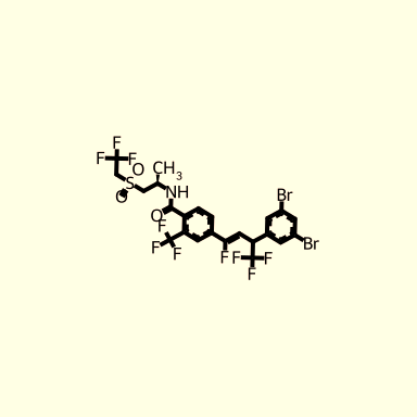 C[C@H](CS(=O)(=O)CC(F)(F)F)NC(=O)c1ccc(/C(F)=C/C(c2cc(Br)cc(Br)c2)C(F)(F)F)cc1C(F)(F)F